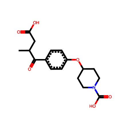 CC(CC(=O)O)C(=O)c1ccc(OC2CCN(C(=O)O)CC2)cc1